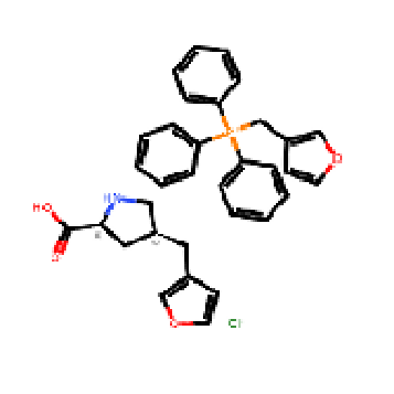 O=C(O)[C@@H]1C[C@H](Cc2ccoc2)CN1.[Cl-].c1ccc([P+](Cc2ccoc2)(c2ccccc2)c2ccccc2)cc1